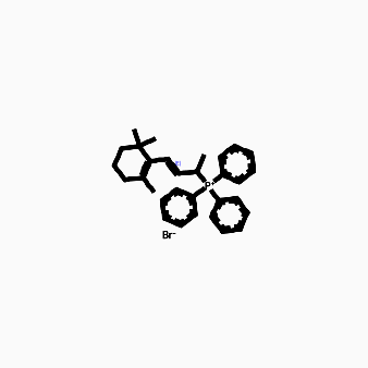 CC1=C(/C=C/C(C)[P+](c2ccccc2)(c2ccccc2)c2ccccc2)C(C)(C)CCC1.[Br-]